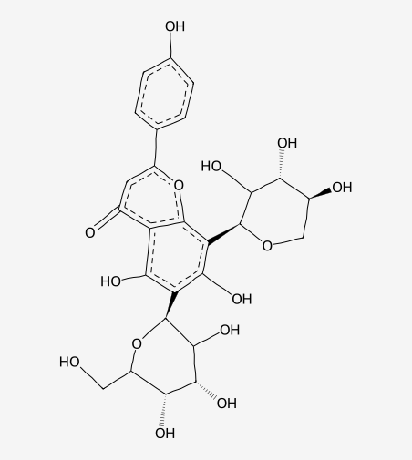 O=c1cc(-c2ccc(O)cc2)oc2c([C@@H]3OC[C@H](O)[C@@H](O)C3O)c(O)c([C@@H]3OC(CO)[C@@H](O)[C@@H](O)C3O)c(O)c12